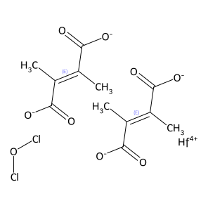 C/C(C(=O)[O-])=C(/C)C(=O)[O-].C/C(C(=O)[O-])=C(/C)C(=O)[O-].ClOCl.[Hf+4]